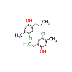 CCCc1cc(Cl)c(C)cc1O.CCc1cc(Cl)c(C)cc1O